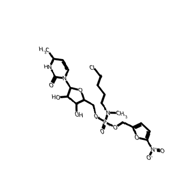 CC1C=CN(C2OC(COP(=O)(OCc3ccc([N+](=O)[O-])o3)N(C)CCCCCl)C(O)C2O)C(=O)N1